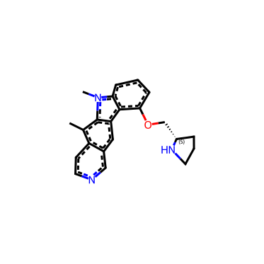 Cc1c2ccncc2cc2c3c(OC[C@@H]4CCCN4)cccc3n(C)c12